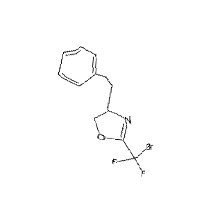 FC(F)(Br)C1=NC(Cc2ccccc2)CO1